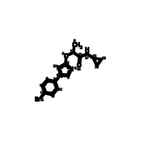 CC(Oc1ncn(-c2ccc(Br)cc2)n1)C(=O)NC1CC1